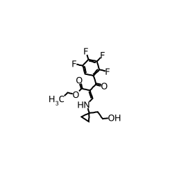 CCOC(=O)C(=CNC1(CCO)CC1)C(=O)c1cc(F)c(F)c(F)c1F